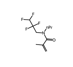 C=C(C)C(=O)N(CCC)CC(F)(F)C(F)F